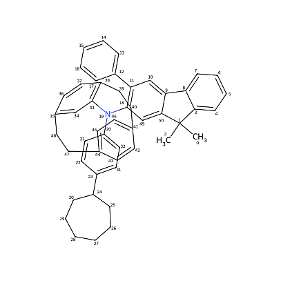 CC1(C)c2ccccc2-c2cc(-c3ccccc3)c(N(c3ccc(C4CCCCCC4)cc3)c3cc4ccc3CCc3ccc(cc3)CC4)cc21